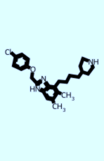 Cc1cc2[nH]c(COc3ccc(Cl)cc3)nc2c(CCCCC2CCNCC2)c1C